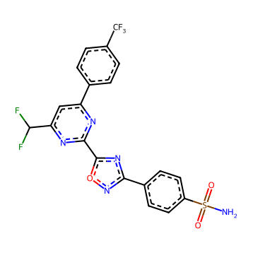 NS(=O)(=O)c1ccc(-c2noc(-c3nc(-c4ccc(C(F)(F)F)cc4)cc(C(F)F)n3)n2)cc1